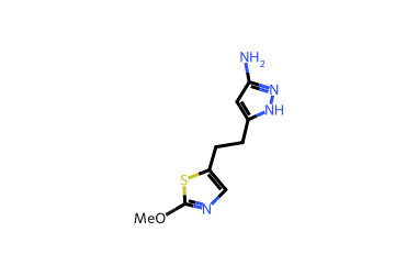 COc1ncc(CCc2cc(N)n[nH]2)s1